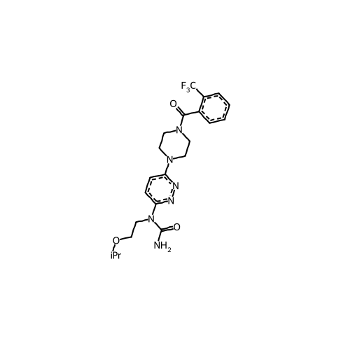 CC(C)OCCN(C(N)=O)c1ccc(N2CCN(C(=O)c3ccccc3C(F)(F)F)CC2)nn1